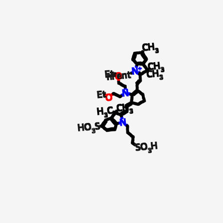 CCCCC[N+]1=C(/C=C/C2=C(N(CCOCC)CCOCC)C(=C/C=C3/N(CCCCS(=O)(=O)O)c4ccc(S(=O)(=O)O)cc4C3(C)C)/CCC2)C(C)(C)c2cc(C)ccc21